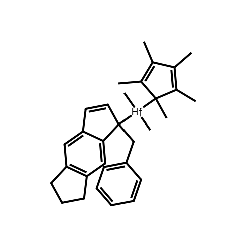 CC1=C(C)[C](C)([Hf]([CH3])([CH3])[C]2(Cc3ccccc3)C=Cc3cc4c(cc32)CCC4)C(C)=C1C